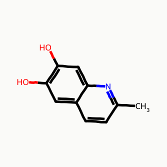 Cc1ccc2cc(O)c(O)cc2n1